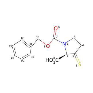 O=C(O)[C@@H]1C(=S)CCN1C(=O)OCc1ccccc1